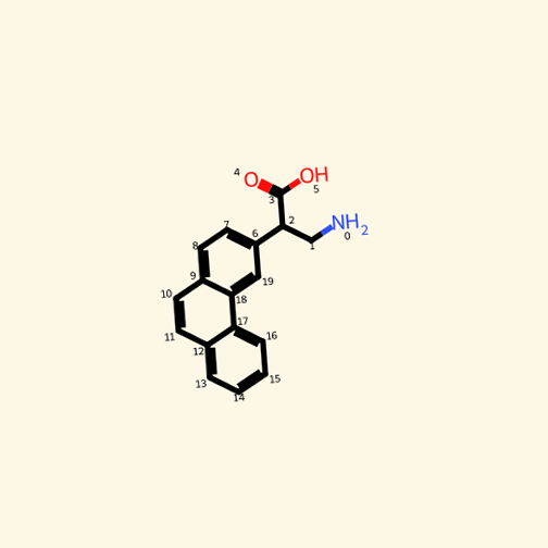 NCC(C(=O)O)c1ccc2ccc3ccccc3c2c1